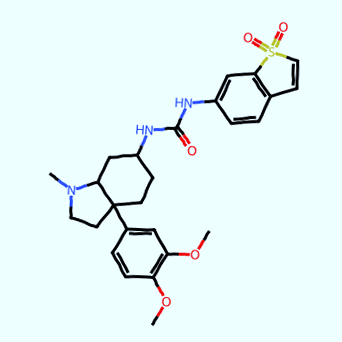 COc1ccc(C23CCC(NC(=O)Nc4ccc5c(c4)S(=O)(=O)C=C5)CC2N(C)CC3)cc1OC